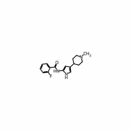 CN1CCC(c2c[nH]c(NC(=O)c3ccccc3F)c2)CC1